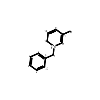 CC1=CN(Cc2ccccc2)CC=C1